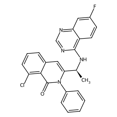 C[C@H](Nc1ncnc2cc(F)ccc12)c1cc2cccc(Cl)c2c(=O)n1-c1ccccc1